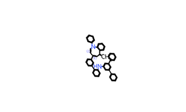 C=C1/C=C(c2cccc(-c3ccccc3Nc3cc(-c4ccccc4)cc(-c4ccccc4)c3)c2)\C=C/N(c2ccccc2)c2ccccc21